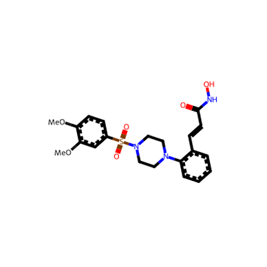 COc1ccc(S(=O)(=O)N2CCN(c3ccccc3C=CC(=O)NO)CC2)cc1OC